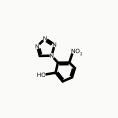 O=[N+]([O-])c1cccc(O)c1-n1cnnn1